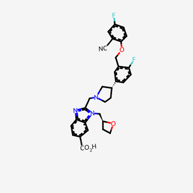 N#Cc1cc(F)ccc1OCc1cc([C@@H]2CCN(Cc3nc4ccc(C(=O)O)cc4n3C[C@@H]3CCO3)C2)ccc1F